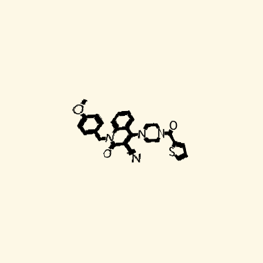 COc1ccc(Cn2c(=O)c(C#N)c(N3CCN(C(=O)c4cccs4)CC3)c3ccccc32)cc1